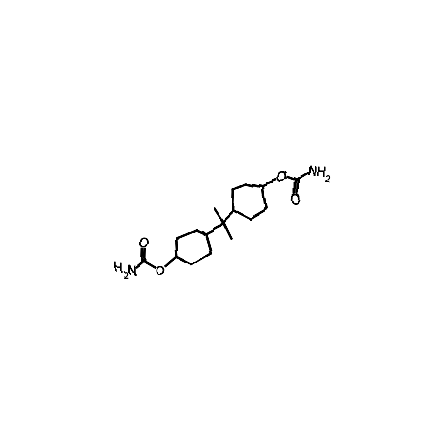 CC(C)(C1CCC(OC(N)=O)CC1)C1CCC(OC(N)=O)CC1